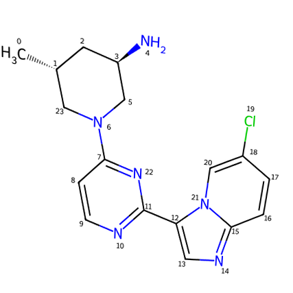 C[C@@H]1C[C@@H](N)CN(c2ccnc(-c3cnc4ccc(Cl)cn34)n2)C1